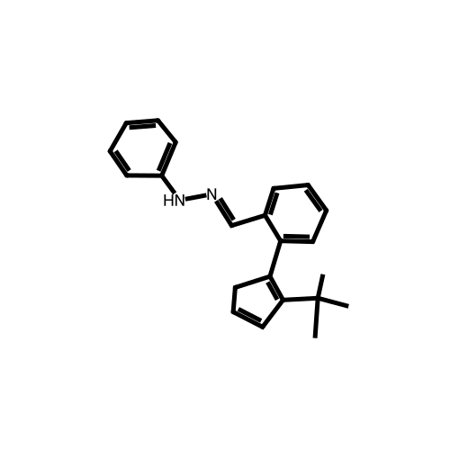 CC(C)(C)C1=C(c2ccccc2C=NNc2ccccc2)CC=C1